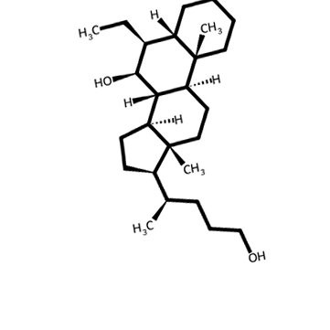 CC[C@@H]1[C@H](O)[C@@H]2[C@H](CC[C@]3(C)[C@@H]([C@H](C)CCCO)CC[C@@H]23)[C@@]2(C)CCCC[C@@H]12